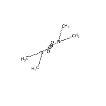 CCCCCCCCCCN(CCCCCCCCCC)CCCC(=O)N1CCN(C(=O)CCCN(CCCCCCCCCC)CCCCCCCCCC)CC1